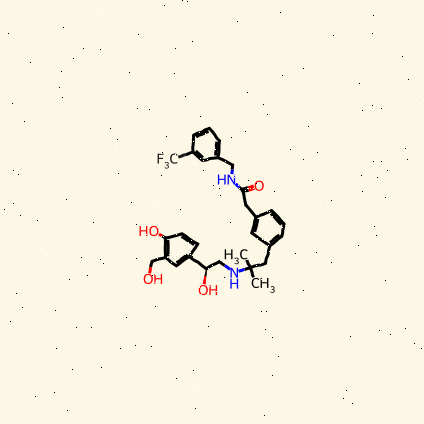 CC(C)(Cc1cccc(CC(=O)NCc2cccc(C(F)(F)F)c2)c1)NC[C@@H](O)c1ccc(O)c(CO)c1